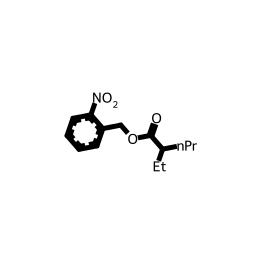 CCCC(CC)C(=O)OCc1ccccc1[N+](=O)[O-]